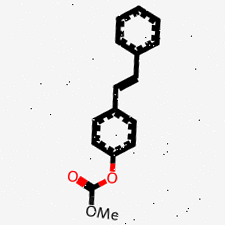 COC(=O)Oc1ccc(C=Cc2ccccc2)cc1